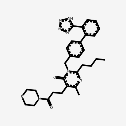 CCCCc1nc(C)c(CCC(=O)N2CCSCC2)c(=O)n1Cc1ccc(-c2ccccc2-c2nnn[nH]2)cc1